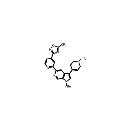 CCCCn1cc(C2=CCN(C)CC2)c2cc(-c3cc(-c4noc(C(F)(F)F)n4)ccn3)ncc21